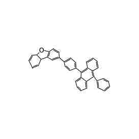 C1=CC2Oc3ccc(-c4ccc(-c5c6ccccc6c(-c6ccccc6)c6ccccc56)cc4)cc3C2C=C1